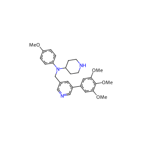 COc1ccc(N(Cc2cncc(-c3cc(OC)c(OC)c(OC)c3)c2)C2CCNCC2)cc1